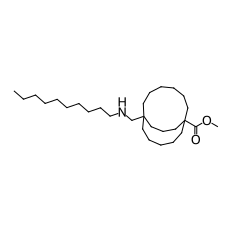 CCCCCCCCCCNCC12CCCCCCC(C(=O)OC)(CCCCC1)CCC2